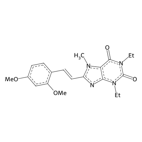 CCn1c(=O)c2c(nc(C=Cc3ccc(OC)cc3OC)n2C)n(CC)c1=O